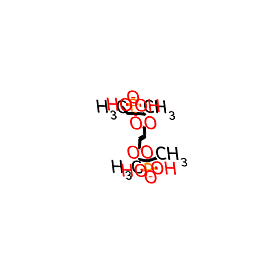 CCC(CC)(OC(=O)/C=C/C(=O)OC(CC)(CC)P(=O)(O)O)P(=O)(O)O